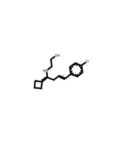 OCCNC(C/C=C/c1ccc(Cl)cc1)=C1CCC1